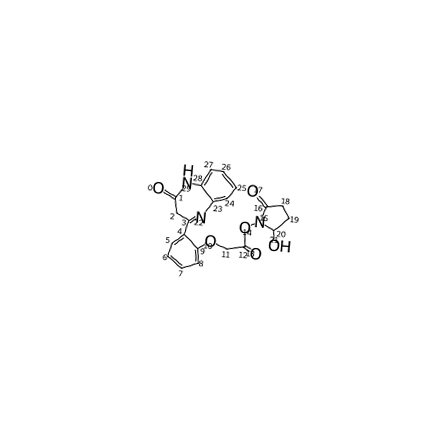 O=C1CC(c2ccccc2OCC(=O)ON2C(=O)CCC2O)=Nc2ccccc2N1